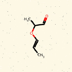 CC=COC(C)[C]=O